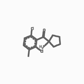 Cc1ccc(Cl)c(C(=O)C2(P)CCCC2)c1Cl